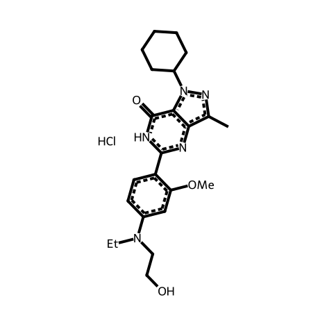 CCN(CCO)c1ccc(-c2nc3c(C)nn(C4CCCCC4)c3c(=O)[nH]2)c(OC)c1.Cl